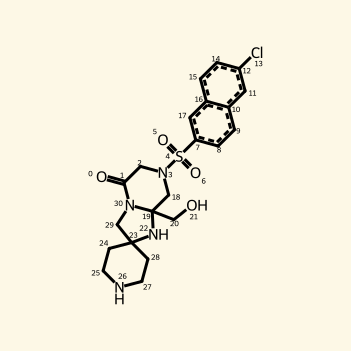 O=C1CN(S(=O)(=O)c2ccc3cc(Cl)ccc3c2)CC2(CO)NC3(CCNCC3)CN12